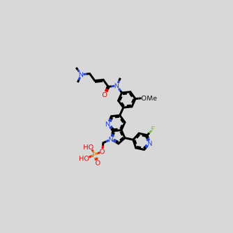 COc1cc(-c2cnc3c(c2)c(-c2ccnc(F)c2)cn3COP(=O)(O)O)cc(N(C)C(=O)C=CCN(C)C)c1